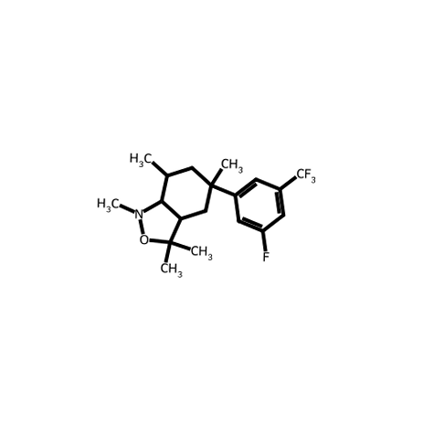 CC1CC(C)(c2cc(F)cc(C(F)(F)F)c2)CC2C1N(C)OC2(C)C